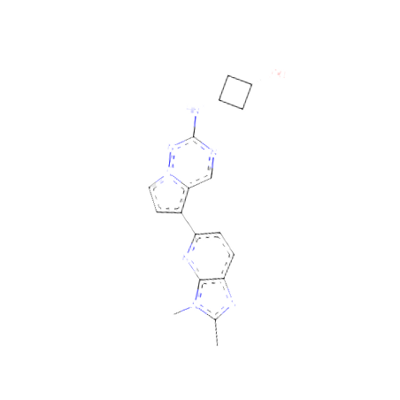 Cc1nc2ccc(-c3ccn4nc(N[C@H]5C[C@@H](O)C5)ncc34)nc2n1C